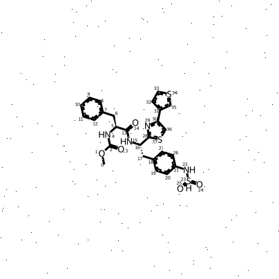 COC(=O)N[C@@H](Cc1ccccc1)C(=O)N[C@@H](Cc1ccc(N[SH](=O)=O)cc1)c1nc(-c2ccsc2)cs1